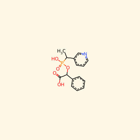 CC(c1cccnc1)P(=O)(O)OC(C(=O)O)c1ccccc1